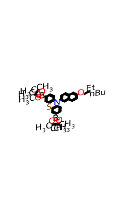 CCCCC(CC)COc1ccc2cc(N3c4ccc(B5OC(C)(C)C(C)(C)O5)cc4Sc4cc(B5OC(C)(C)C(C)(C)O5)ccc43)ccc2c1